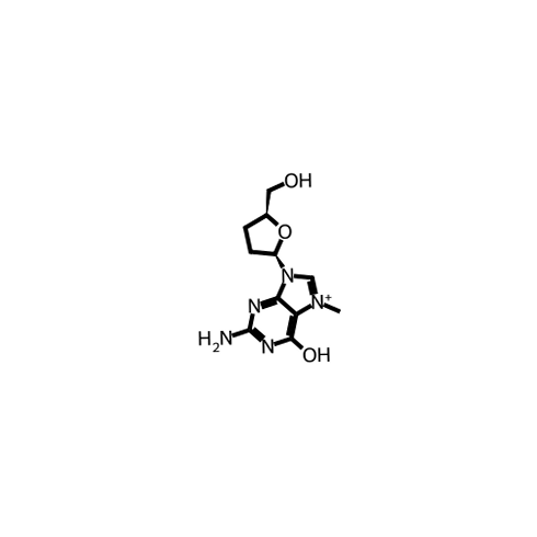 C[n+]1cn([C@H]2CC[C@@H](CO)O2)c2nc(N)nc(O)c21